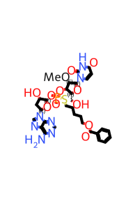 CO[C@H]1C(OP(=O)(O[C@H]2O[C@@H](n3cnc4c(N)ncnc43)CC2O)SCCCCCOC(=O)c2ccccc2)[C@@H](CO)O[C@H]1n1ccc(=O)[nH]c1=O